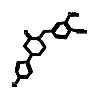 CCc1ccc(C2CCN(Cc3ccc(OC)c(OC)c3)C(=O)C2)cc1